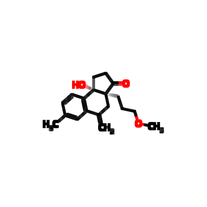 C=C1C[C@]2(CCCOC)C(=O)CC[C@]2(O)c2ccc(C)cc21